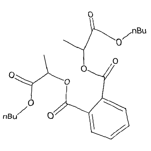 CCCCOC(=O)C(C)OC(=O)c1ccccc1C(=O)OC(C)C(=O)OCCCC